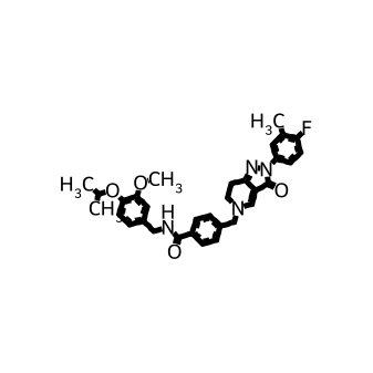 COc1cc(CNC(=O)c2ccc(CN3C=C4C(=O)N(c5ccc(F)c(C)c5)N=C4CC3)cc2)ccc1OC(C)C